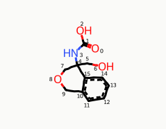 O=C(O)NC1(CO)COCc2ccccc21